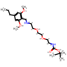 CCCc1cc(OC)c(CNCCOCCOCCNC(=O)OC(C)(C)C)c(OC)c1